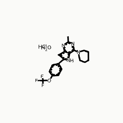 Cc1nc(N2CCCCC2)c2[nH]c(-c3ccc(OC(F)(F)F)cc3)cc2n1.Cl.O